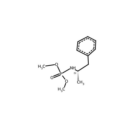 COP(=O)(N[C@@H](C)Cc1ccccc1)OC